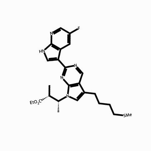 CCOC(=O)[C@H](C)[C@@H](C)n1cc(CCCCSC)c2cnc(-c3c[nH]c4ncc(F)cc34)nc21